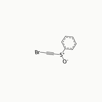 [O-][S+](C#CBr)c1ccccc1